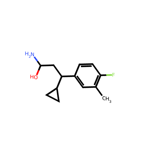 Cc1cc(C(CC(N)O)C2CC2)ccc1F